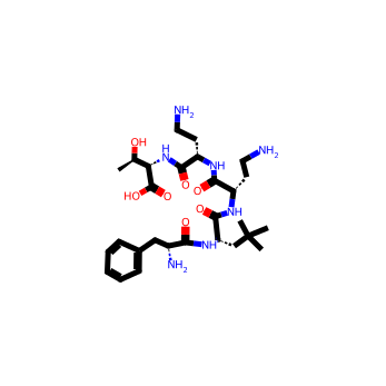 C[C@@H](O)[C@H](NC(=O)[C@H](CCN)NC(=O)[C@H](CCN)NC(=O)[C@H](CC(C)(C)C)NC(=O)[C@H](N)Cc1ccccc1)C(=O)O